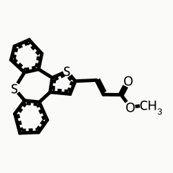 COC(=O)C=Cc1cc2c(s1)-c1ccccc1Sc1ccccc1-2